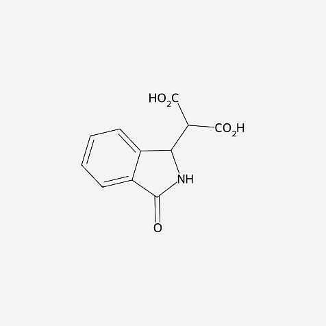 O=C1NC(C(C(=O)O)C(=O)O)c2ccccc21